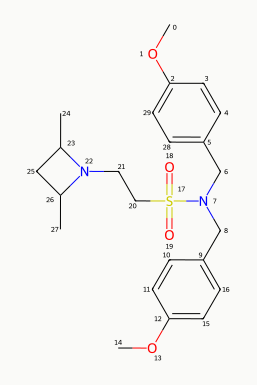 COc1ccc(CN(Cc2ccc(OC)cc2)S(=O)(=O)CCN2C(C)CC2C)cc1